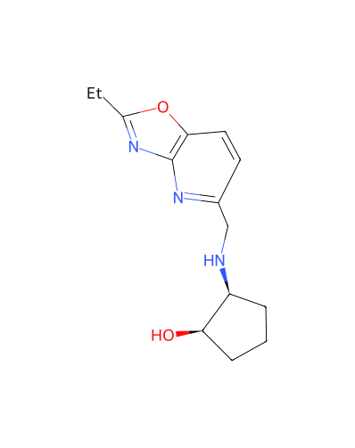 CCc1nc2nc(CN[C@H]3CCC[C@H]3O)ccc2o1